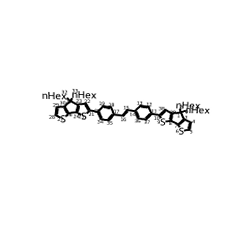 CCCCCCC1(CCCCCC)c2ccsc2-c2sc(-c3ccc(/C=C/c4ccc(-c5cc6c(s5)-c5sccc5C6(CCCCCC)CCCCCC)cc4)cc3)cc21